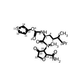 CC(C)C(C)CC[C@H](NC(=O)Oc1ccsc1)C(=O)N(C)C1C(=O)COC1C(N)=O